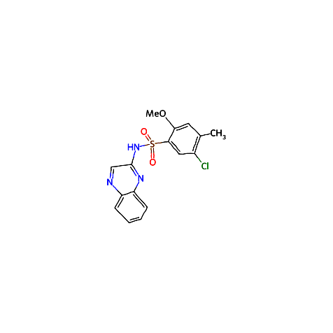 COc1cc(C)c(Cl)cc1S(=O)(=O)Nc1cnc2ccccc2n1